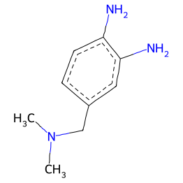 CN(C)Cc1ccc(N)c(N)c1